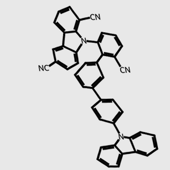 N#Cc1ccc2c(c1)c1cccc(C#N)c1n2-c1cccc(C#N)c1-c1cccc(-c2ccc(-n3c4ccccc4c4ccccc43)cc2)c1